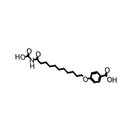 O=C(O)NC(=O)CCCCCCCCCCOc1ccc(C(=O)O)cc1